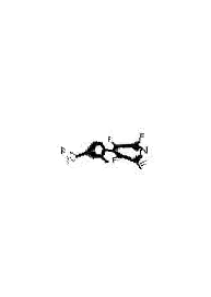 Cc1cc(C(F)(F)F)ccc1-c1c(F)c(F)nc(F)c1F